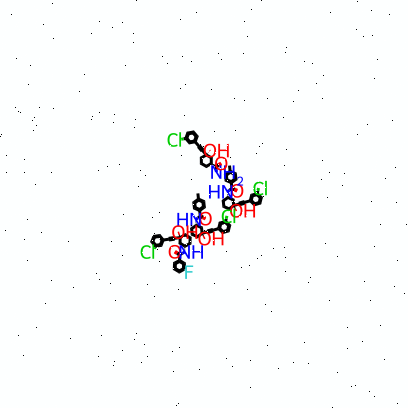 Cc1ccc(C(=O)N[C@H]2CCC[C@@](O)(C#Cc3cccc(Cl)c3)C2)cc1.Cc1ccc(C(=O)N[C@H]2CCC[C@@](O)(C#Cc3cccc(Cl)c3)C2)cc1.NC(=O)[C@H]1CCC[C@@](O)(C#Cc2cccc(Cl)c2)C1.O=C(N[C@H]1CCC[C@@](O)(C#Cc2cccc(Cl)c2)C1)c1cccc(F)c1